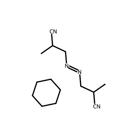 C1CCCCC1.CC(C#N)CN=NCC(C)C#N